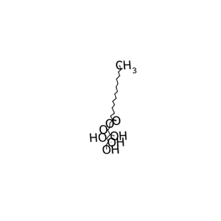 CCCCCCCCCCCCCCCC(=O)OCC(=O)[C@@H](O)[C@H](O)[C@H](O)CO